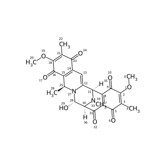 COC1=C(C)C(=O)C2=C(C1=O)[C@@H]1C3=CC4=C(C(=O)C(OC)=C(C)C4=O)[C@H](C)N3[C@@H](O)[C@H](C2=O)N1C